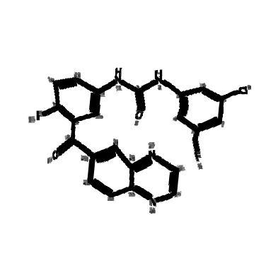 O=C(Nc1cc(F)cc(Cl)c1)Nc1ccc(F)c(C(=O)c2ccc3nccnc3c2)c1